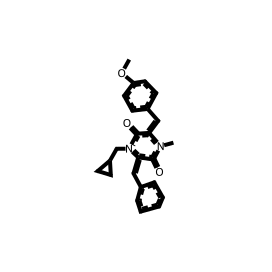 COc1ccc(C=c2c(=O)n(CC3CC3)c(=Cc3ccccc3)c(=O)n2C)cc1